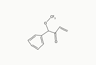 C=CC(=O)C(OC(F)(F)F)c1ccccc1